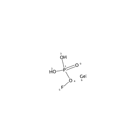 O=P(O)(O)OF.[Ge]